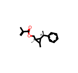 C=C(C)C(=O)OC[C@]1(C)C(C)C1[C@@H](C)c1ccccc1